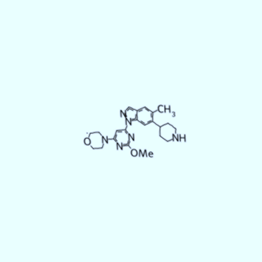 COc1nc(N2C[CH]OCC2)cc(-n2ncc3cc(C)c(C4CCNCC4)cc32)n1